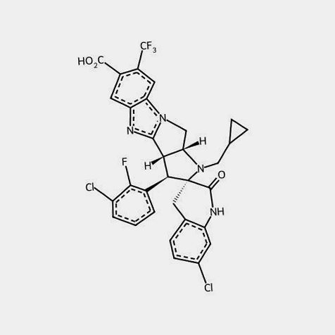 O=C(O)c1cc2nc3n(c2cc1C(F)(F)F)C[C@H]1[C@@H]3[C@H](c2cccc(Cl)c2F)[C@@]2(Cc3ccc(Cl)cc3NC2=O)N1CC1CC1